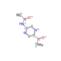 COC(=O)c1cnc(NC(=O)C(C)(C)C)cn1